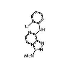 CNc1nnc2c(Nc3ccccc3Cl)nccn12